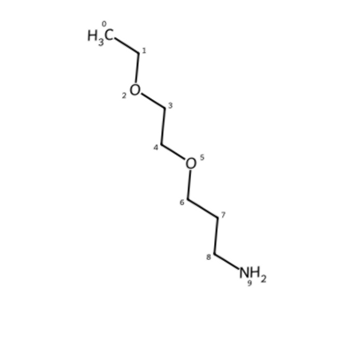 CCOCCOCCCN